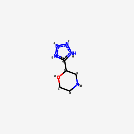 C1COC(c2nnn[nH]2)C[N]1